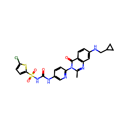 Cc1nc2cc(NCC3CC3)ccc2c(=O)n1-c1ccc(NC(=O)NS(=O)(=O)c2ccc(Cl)s2)cn1